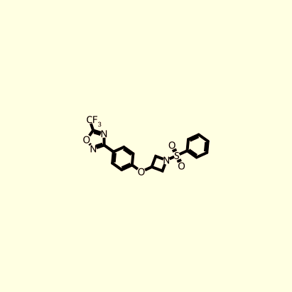 O=S(=O)(c1ccccc1)N1CC(Oc2ccc(-c3noc(C(F)(F)F)n3)cc2)C1